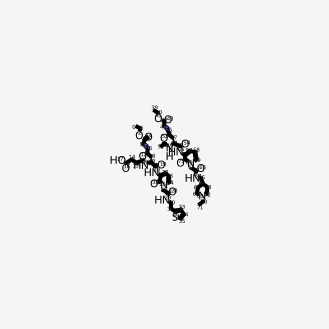 CCOC(=O)/C=C/CC[C@H](NC(=O)CCC(=O)O)C(=O)Nc1cccn(CC(=O)NCCc2cccs2)c1=O.CCOC(=O)/C=C/CC[C@H](NC(C)=O)C(=O)Nc1cccn(CC(=O)NCC2CCN(CC)CC2)c1=O